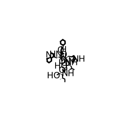 CC[C@H](C)[C@@H](CO)NC(=O)C[C@H](O)[C@H](CC(C)C)NC(=O)[C@H](Cc1c[nH]cn1)NC(=O)[C@H](Cc1ccnc2ccccc12)NC(=O)OCc1ccccc1